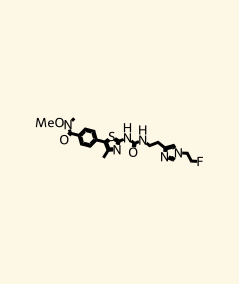 CON(C)C(=O)c1ccc(-c2sc(NC(=O)NCCc3cn(CCF)cn3)nc2C)cc1